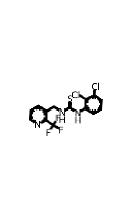 FC(F)(F)c1ncccc1CNC(=S)Nc1cccc(Cl)c1Cl